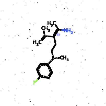 C=C(C)/C(CCC(C)c1ccc(F)cc1)=C(\C)N